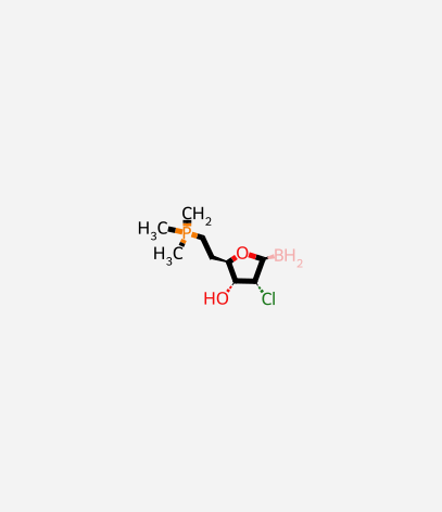 B[C@@H]1O[C@H](CCP(=C)(C)C)[C@@H](O)[C@H]1Cl